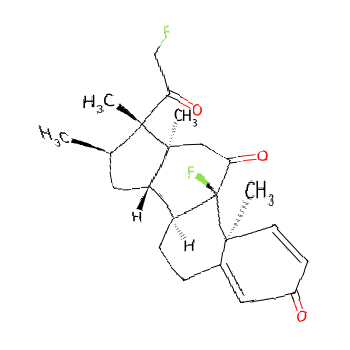 C[C@@H]1C[C@H]2[C@@H]3CCC4=CC(=O)C=C[C@]4(C)[C@@]3(F)C(=O)C[C@]2(C)[C@@]1(C)C(=O)CF